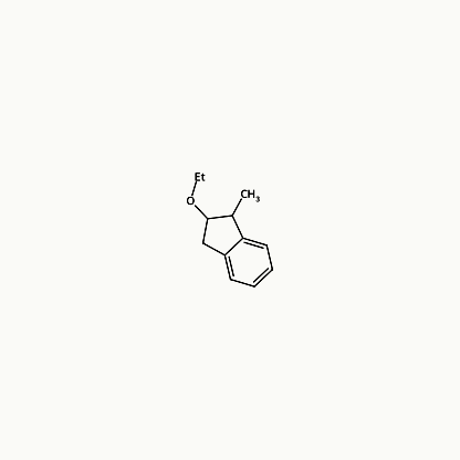 CCOC1Cc2ccccc2C1C